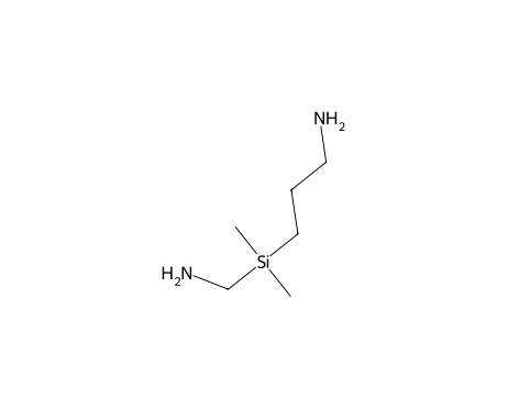 C[Si](C)(CN)CCCN